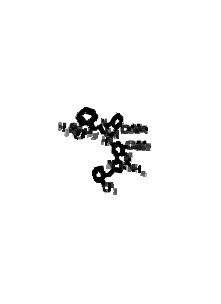 COc1cc(Nc2nc3c(OC)cccc3c3nc(Cc4ccccc4N(C)C)cn23)cc2c1nc(N)n1cc(Cc3ccccc3C(F)(F)F)nc21